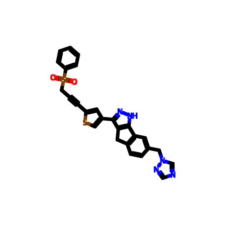 O=S(=O)(CC#Cc1cc(-c2n[nH]c3c2Cc2ccc(Cn4cncn4)cc2-3)cs1)c1ccccc1